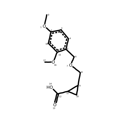 COc1ccc(COCC2CC2C(=O)O)c(OC)c1